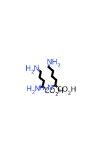 NCCCC(N)C(=O)O.NCCCCC(N)C(=O)O